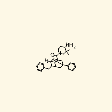 CC1(C)CN(C(=O)C23CC4CC(c5ccccc5)(C[C@@H](C2)C4Cc2ccccc2)C3)CC[C@@H]1N